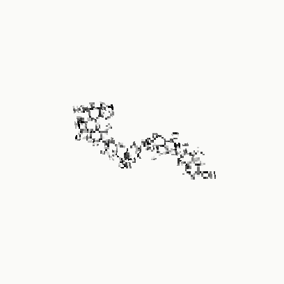 CCc1c2c(nc3ccc(O)cc13)-c1cc3c(c(=O)n1C2)COC(=O)C3(CC)OC(=O)N1CCN(C(O)C2CCN(c3ccc(-n4c(O)nnc4-c4cc(C(C)C)c(O)cc4O)cc3)CC2)CC1